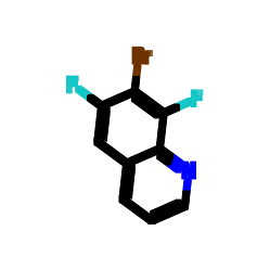 Fc1cc2cccnc2c(F)c1Br